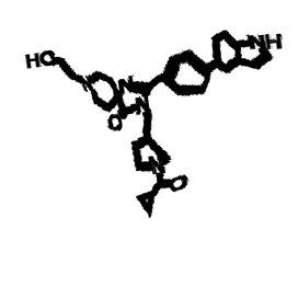 O=C(C1CC1)N1CCC(CN2C(=O)C3(CCN(CCO)CC3)N=C2c2ccc(-c3ccc4[nH]ccc4c3)cc2)C1